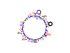 CC[C@H](C)[C@@H]1NC(=O)[C@H](CC(C)C)N(C)C(=O)[C@H](CC(C)C)N(C)C(=O)[C@H](C)NC(=O)CCCN(C)C(=O)C[C@@H](C(=O)N2CCCCC2)NC(=O)[C@H](CC(C)C)N(C)C(=O)[C@H](Cc2ccccc2)N(C)C(=O)CN(C)C(=O)[C@H]([C@@H](C)O)NC(=O)[C@H](C)N(C)C1=O